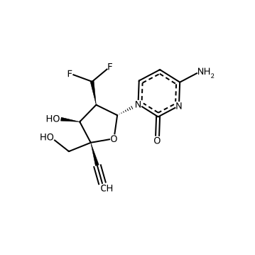 C#C[C@]1(CO)O[C@@H](n2ccc(N)nc2=O)[C@H](C(F)F)[C@@H]1O